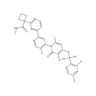 [2H]C([2H])(Oc1cc(C)n(-c2cc(-c3ccnc(C4(C(=O)NC)CCC4)n3)ncc2C)c(=O)c1Cl)c1ncc(F)cc1F